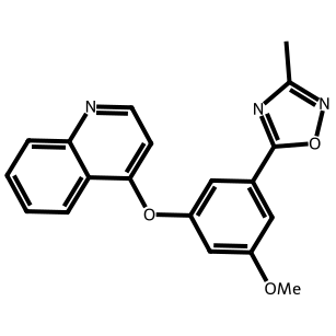 COc1cc(Oc2ccnc3ccccc23)cc(-c2nc(C)no2)c1